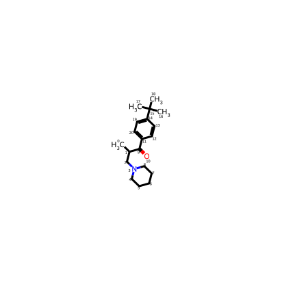 CC(CN1CCCCC1)C(=O)c1ccc(C(C)(C)C)cc1